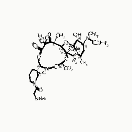 CNCC(=O)N1CCCC([C@@H]2COC(=O)C(C)(C)C(=O)[C@H](C)[C@@H](O[C@@H]3O[C@H](C)C[C@H](N(C)C)[C@H]3O)[C@](C)(OC)C[C@@H](C)CN2C)C1